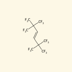 FC(F)(F)C(C=CC(C(F)(F)F)(C(F)(F)F)C(F)(F)F)(C(F)(F)F)C(F)(F)F